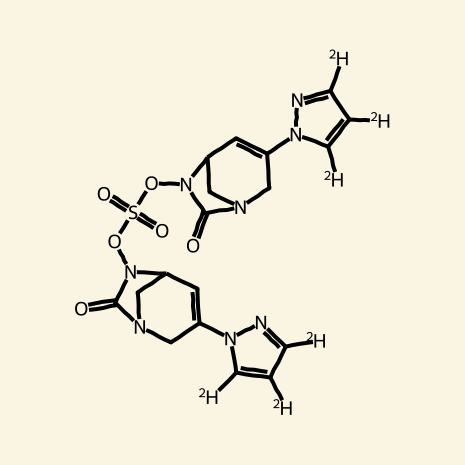 [2H]c1nn(C2=CC3CN(C2)C(=O)N3OS(=O)(=O)ON2C(=O)N3CC(n4nc([2H])c([2H])c4[2H])=CC2C3)c([2H])c1[2H]